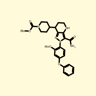 COc1cc(Oc2ccccc2)ccc1-n1nc2c(c1C(N)=O)NCCC2C1CCN(C(=O)OC(C)(C)C)CC1